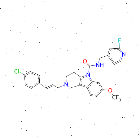 O=C(NCc1ccnc(F)c1)n1c2c(c3ccc(OC(F)(F)F)cc31)CN(CC=Cc1ccc(Cl)cc1)CC2